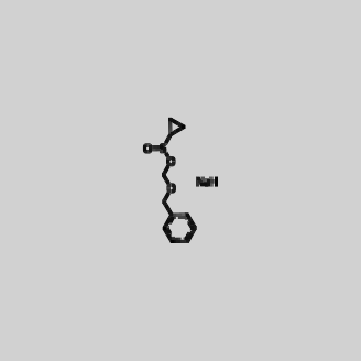 O=S(OCOCc1ccccc1)C1CC1.[NaH]